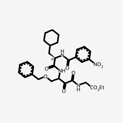 CCOC(=O)CNC(=O)C(=O)C(COCc1ccccc1)NC(=O)[C@@H](CC1CCCCC1)NC(=O)c1cccc([N+](=O)[O-])c1